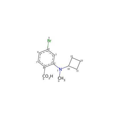 CN(c1cc(Br)ccc1C(=O)O)C1CCC1